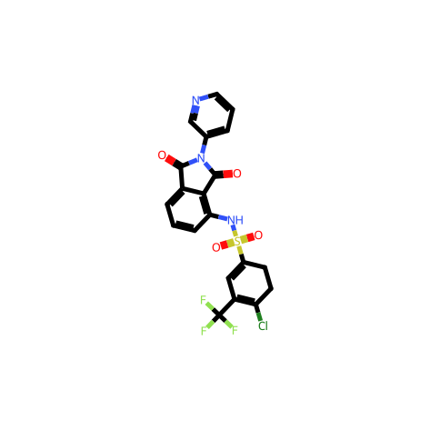 O=C1c2cccc(NS(=O)(=O)C3=CC(C(F)(F)F)=C(Cl)CC3)c2C(=O)N1c1cccnc1